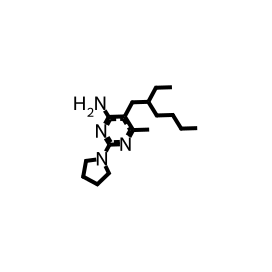 CCCCC(CC)Cc1c(C)nc(N2CCCC2)nc1N